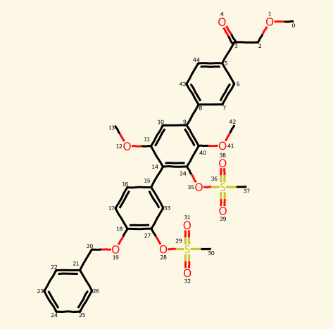 COCC(=O)c1ccc(-c2cc(OC)c(-c3ccc(OCc4ccccc4)c(OS(C)(=O)=O)c3)c(OS(C)(=O)=O)c2OC)cc1